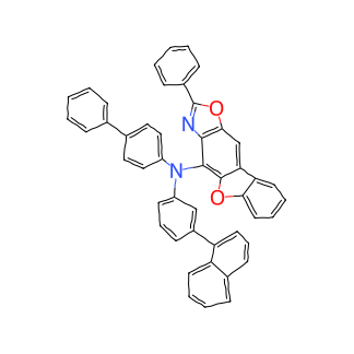 c1ccc(-c2ccc(N(c3cccc(-c4cccc5ccccc45)c3)c3c4nc(-c5ccccc5)oc4cc4c3oc3ccccc34)cc2)cc1